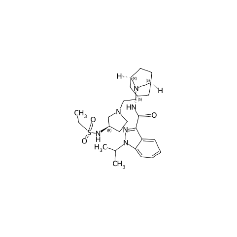 CCS(=O)(=O)N[C@@H]1CCN(CCN2[C@@H]3CC[C@H]2C[C@H](NC(=O)c2nn(C(C)C)c4ccccc24)C3)C1